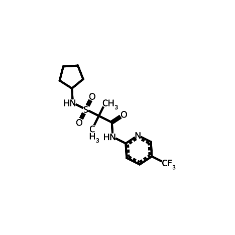 CC(C)(C(=O)Nc1ccc(C(F)(F)F)cn1)S(=O)(=O)NC1CCCC1